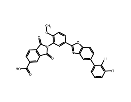 COc1ccc(-c2nc3cc(-c4cccc(Cl)c4Cl)ccc3o2)cc1N1C(=O)c2ccc(C(=O)O)cc2C1=O